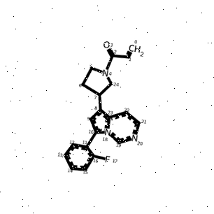 C=CC(=O)N1CCC(c2cc(-c3ccccc3F)n3cnccc23)C1